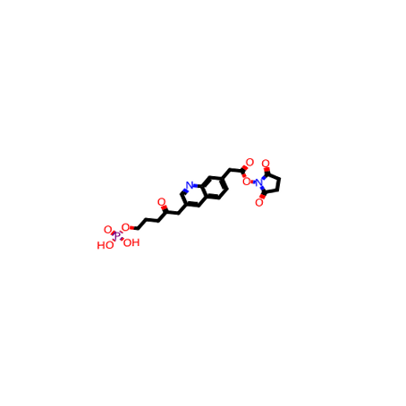 O=C(CCCOP(=O)(O)O)Cc1cnc2cc(CC(=O)ON3C(=O)CCC3=O)ccc2c1